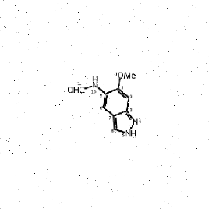 COc1cc2n[nH]cc2cc1NC=O